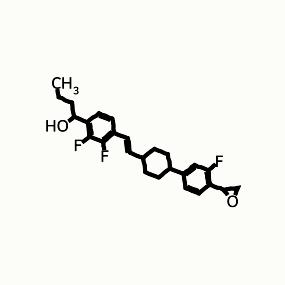 CCCC(O)c1ccc(/C=C/C2CCC(c3ccc(C4CO4)c(F)c3)CC2)c(F)c1F